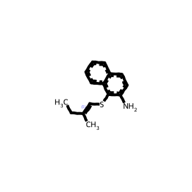 CC/C(C)=C/Sc1c(N)ccc2ccccc12